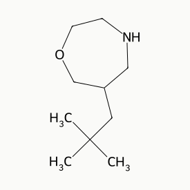 CC(C)(C)CC1CNCCOC1